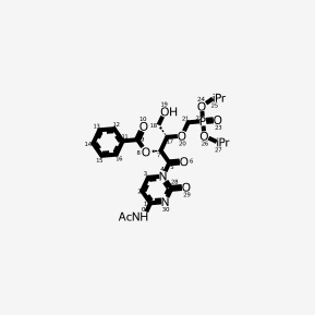 CC(=O)Nc1ccn(C(=O)[C@H](OC(=O)c2ccccc2)[C@H](CO)OCP(=O)(OC(C)C)OC(C)C)c(=O)n1